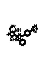 CC(C)CN1C(=N)/C(=C(\NCc2ccc(-n3cncn3)cc2)Nc2ccccc2)C(=S)N1C